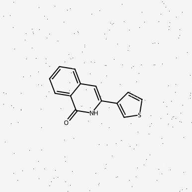 O=c1[nH]c(-c2ccsc2)cc2ccccc12